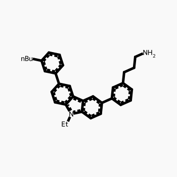 CCCCc1cccc(-c2ccc3c(c2)c2cc(-c4cccc(CCCN)c4)ccc2n3CC)c1